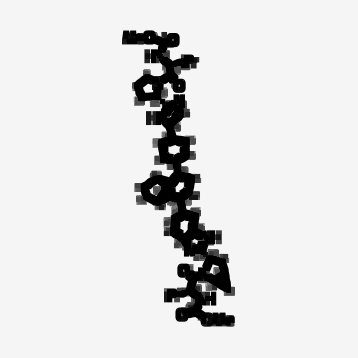 COC(=O)N[C@H](C(=O)N1CCC[C@H]1c1ncc(-c2ccc(-c3ccc(-c4ccc5nc([C@@H]6CC7CC7N6C(=O)[C@@H](NC(=O)OC)C(C)C)[nH]c5c4)c4c3C3CCC4CC3)cc2)[nH]1)C(C)C